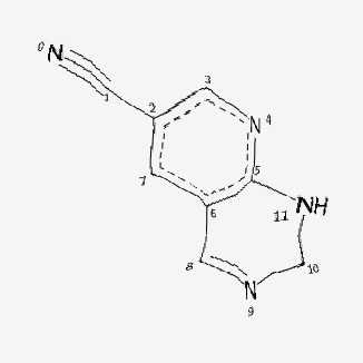 N#Cc1cnc2c(c1)C=NCN2